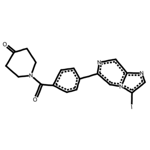 O=C1CCN(C(=O)c2ccc(-c3cn4c(I)cnc4cn3)cc2)CC1